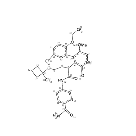 COc1c[nH]c(=O)c(C(CCOC2(C)CCC2)C(=O)Nc2ccc(C(N)=O)nc2)c1-c1cc(Cl)ccc1OCC(F)(F)F